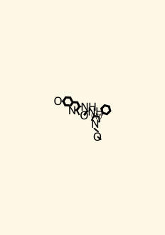 COCCN1C[C@@H](NC(=O)Nc2cc3ccc(OC)cc3nc2C)[C@H](c2ccccc2)C1